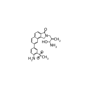 C=C(CN1Cc2c(ccc3ccc(-c4ccc(N)c(S(C)(=O)=O)c4)cc23)C1=O)C(N)O